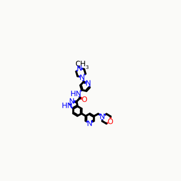 CN1CCN(c2cc(NC(=O)c3n[nH]c4ccc(-c5cncc(CN6CCOCC6)c5)cc34)ccn2)CC1